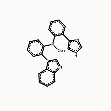 O=CN(c1ccccc1-c1c[nH]cn1)c1ccccc1-n1cnc2ccccc21